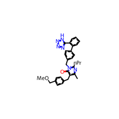 CCCc1nc(C)c(Cc2ccc(COC)cc2)c(=O)n1Cc1ccc(-c2ccccc2-c2nnn[nH]2)cc1